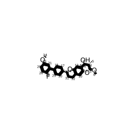 COC(=O)[C@@H](C)[C@@H](O)c1ccc2c(c1)O[C@H](c1ccc(-c3cc(OC)ccc3F)cc1)CC2